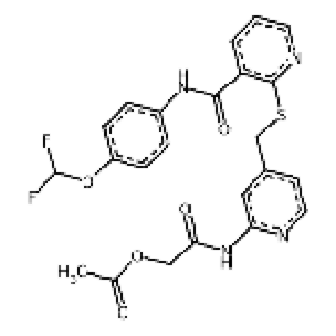 CC(=O)OCC(=O)Nc1cc(CSc2ncccc2C(=O)Nc2ccc(OC(F)F)cc2)ccn1